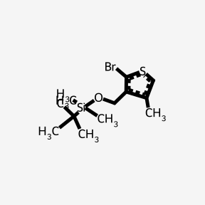 Cc1csc(Br)c1CO[Si](C)(C)C(C)(C)C